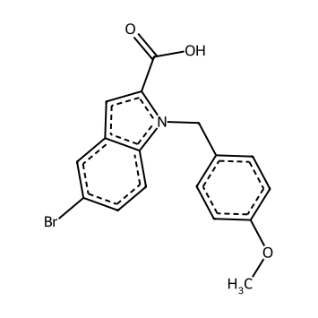 COc1ccc(Cn2c(C(=O)O)cc3cc(Br)ccc32)cc1